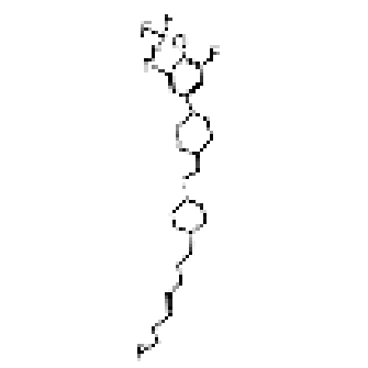 FCC/C=C/CCC[C@H]1CC[C@H](CCC2CCC(c3cc(F)c(OC(F)(F)F)c(F)c3)CC2)CC1